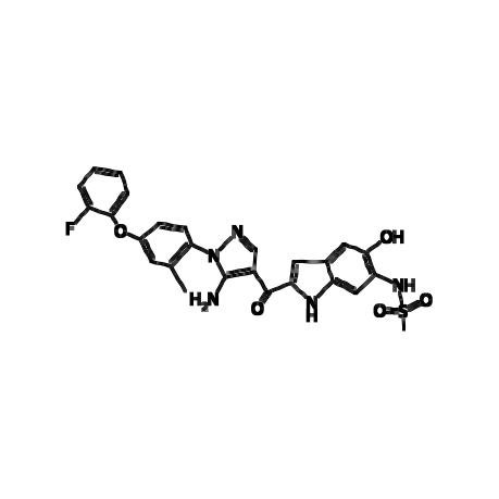 Cc1cc(Oc2ccccc2F)ccc1-n1ncc(C(=O)c2cc3cc(O)c(NS(C)(=O)=O)cc3[nH]2)c1N